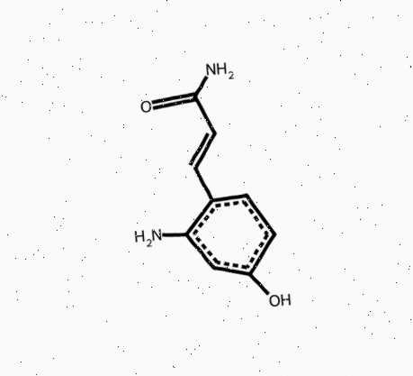 NC(=O)/C=C/c1ccc(O)cc1N